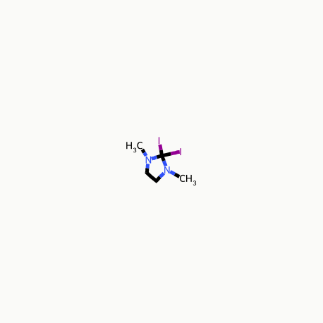 CN1CCN(C)C1(I)I